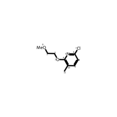 COCCOc1nc(Cl)ccc1C